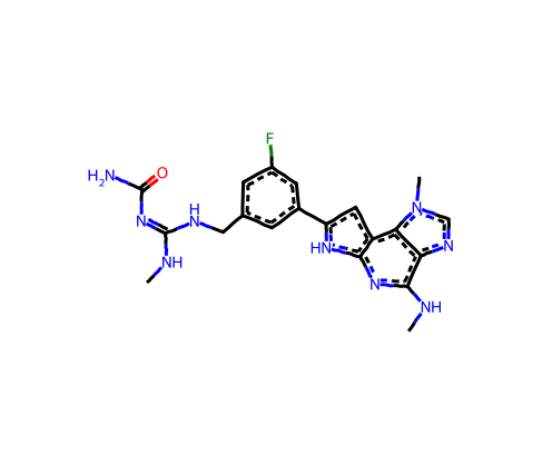 CN/C(=N/C(N)=O)NCc1cc(F)cc(-c2cc3c(nc(NC)c4ncn(C)c43)[nH]2)c1